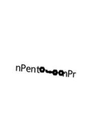 CCCCC[C@H]1CC[C@H](/C=C/C#Cc2ccc([C@H]3CC[C@H](CCC)CC3)cc2)CC1